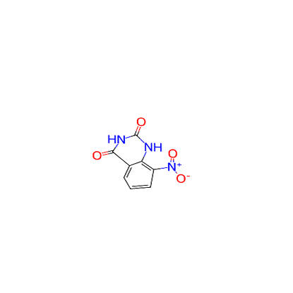 O=c1[nH]c(=O)c2cccc([N+](=O)[O-])c2[nH]1